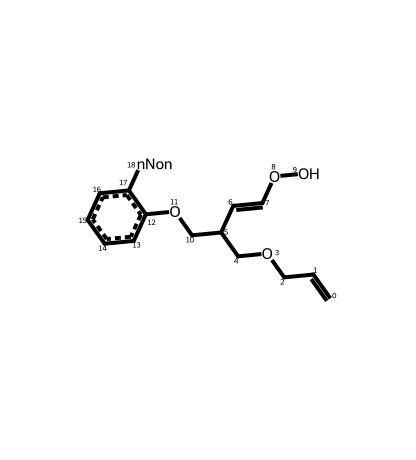 C=CCOCC(C=COO)COc1ccccc1CCCCCCCCC